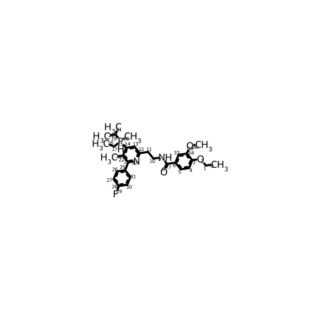 CCOc1ccc(C(=O)NCCc2cc([PH](C)(CC)C(C)C)c(C)c(-c3ccc(F)cc3)n2)cc1OC